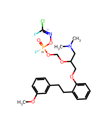 COc1cccc(CCc2ccccc2OCC(CN(C)C)OCO[P@](=O)(F)O/N=C(\F)Cl)c1